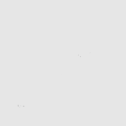 COc1ccc(CSC2CC(CCCO)N(C(=O)OC(C)(C)C)C2)cc1